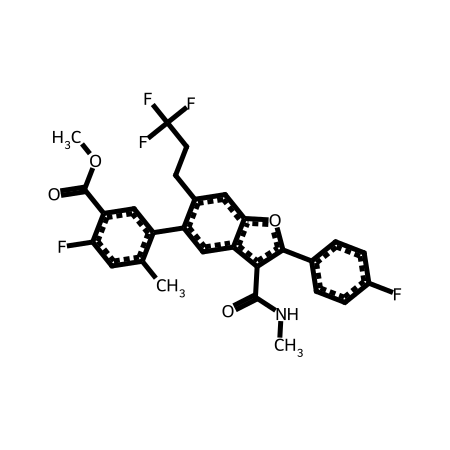 CNC(=O)c1c(-c2ccc(F)cc2)oc2cc(CCC(F)(F)F)c(-c3cc(C(=O)OC)c(F)cc3C)cc12